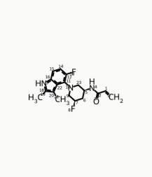 C=CC(=O)N[C@H]1C[C@@H](F)CN(c2c(F)ccc3[nH]c(C)c(C)c23)C1